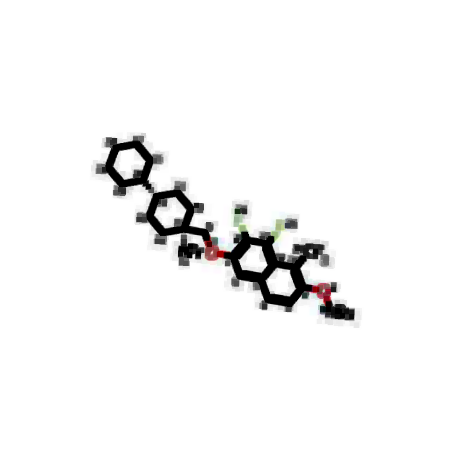 CCCCOc1ccc2cc(OC[C@]3(CCC)CC[C@@H](C4CCCCC4)CC3)c(F)c(F)c2c1C(F)(F)F